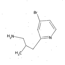 CC(CN)Cc1cc(Br)ccn1